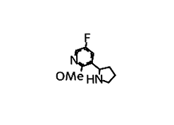 COc1ncc(F)cc1C1CCCN1